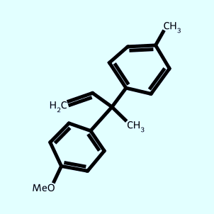 C=CC(C)(c1ccc(C)cc1)c1ccc(OC)cc1